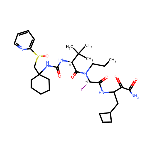 CCCN(C(=O)[C@@H](NC(=O)NC1(C[S+]([O-])c2ccccn2)CCCCC1)C(C)(C)C)[C@@H](I)C(=O)NC(CC1CCC1)C(=O)C(N)=O